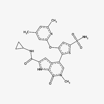 Cc1cc(C)nc(Oc2cc(S(N)(=O)=O)sc2-c2cn(C)c(=O)c3[nH]c(C(=O)NC4CC4)cc23)c1